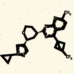 Cc1ccc2c(C34CC(C(F)(F)F)(C3)C4)nc([C@H]3CCO[C@@H](c4cnn(C5CC5)c4)C3)nc2n1